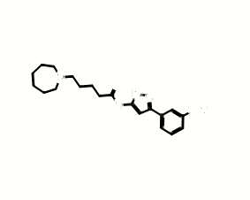 COc1cccc(-c2cc(NC(=O)CCCCN3CCCCCC3)[nH]n2)c1